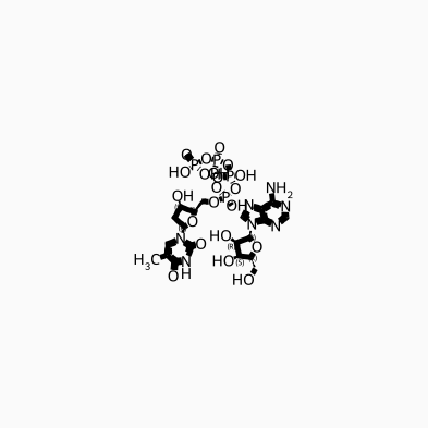 Cc1cn([C@H]2C[C@H](O)[C@@H](COP(=O)(O)OP(=O)(O)OP(=O)(O)OP(=O)(O)O)O2)c(=O)[nH]c1=O.Nc1ncnc2c1ncn2[C@@H]1O[C@H](CO)[C@@H](O)[C@H]1O